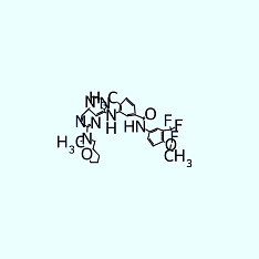 COc1ccc(NC(=O)c2ccc(C)c(Nc3ncnc4cnc(N(C)CC5CCCO5)nc34)c2)cc1C(F)(F)F